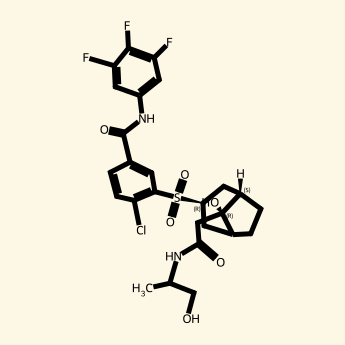 CC(CO)NC(=O)C[C@@]1(O)C2CC[C@H]1C[C@H](S(=O)(=O)c1cc(C(=O)Nc3cc(F)c(F)c(F)c3)ccc1Cl)C2